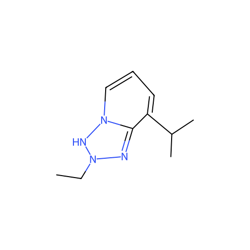 CCN1N=C2C(C(C)C)=CC=CN2N1